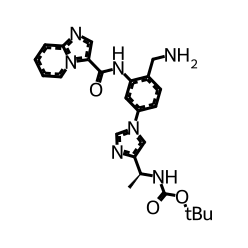 C[C@H](NC(=O)OC(C)(C)C)c1cn(-c2ccc(CN)c(NC(=O)c3cnc4ccccn34)c2)cn1